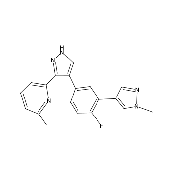 Cc1cccc(-c2n[nH]cc2-c2ccc(F)c(-c3cnn(C)c3)c2)n1